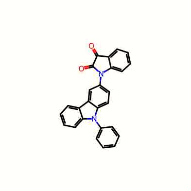 O=C1C(=O)N(c2ccc3c(c2)c2ccccc2n3-c2ccccc2)c2ccccc21